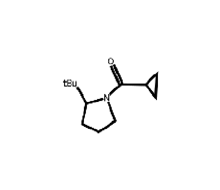 CC(C)(C)C1CCCN1C(=O)C1CC1